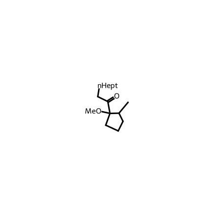 CCCCCCCCC(=O)C1(OC)CCCC1C